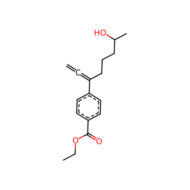 C=C=C(CCCC(C)O)c1ccc(C(=O)OCC)cc1